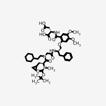 COc1cc(OC[C@@H](Cc2ccccc2)NC(=O)CN(CCC2CCCCC2)C(=O)[C@H](CC2CC2)N(C)C(=O)OC(C)(C)C)c(C(=O)N[C@@H](CC(=O)O)C(=O)O)cc1OC